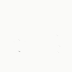 O=C1c2cc(Cc3ccc(-n4cccn4)nc3)c(Cl)cc2CN1[C@H]1CCCC[C@@H]1O